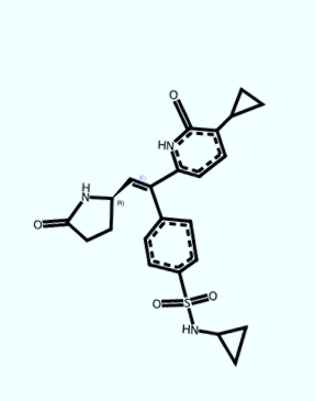 O=C1CC[C@H](/C=C(\c2ccc(S(=O)(=O)NC3CC3)cc2)c2ccc(C3CC3)c(=O)[nH]2)N1